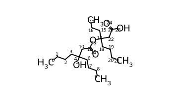 CCCCC(O)(CCCC)CC(=O)OC(CCC)(CCCC)CC(=O)O